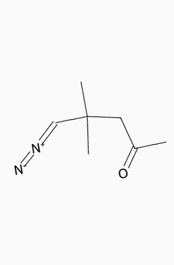 CC(=O)CC(C)(C)C=[N+]=[N-]